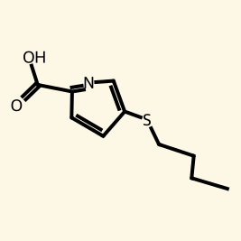 CCCCSc1ccc(C(=O)O)nc1